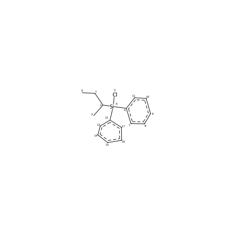 CCC(C)[Si](Cl)(c1ccccc1)c1ccccc1